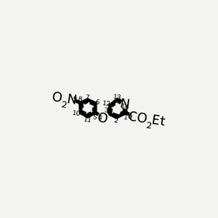 CCOC(=O)c1cc(Oc2ccc([N+](=O)[O-])cc2)ccn1